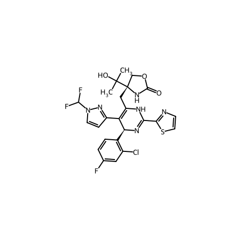 CC(C)(O)[C@]1(CC2=C(c3ccn(C(F)F)n3)[C@H](c3ccc(F)cc3Cl)N=C(c3nccs3)N2)COC(=O)N1